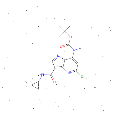 CN(C(=O)OC(C)(C)C)C1=CC(Cl)=NC2=C(C(=O)NC3CC3)C=NC12